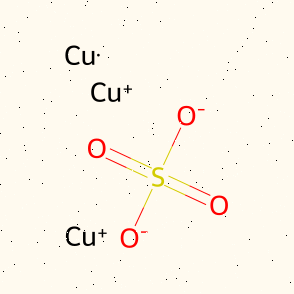 O=S(=O)([O-])[O-].[Cu+].[Cu+].[Cu]